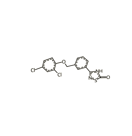 O=c1[nH]c(-c2cccc(COc3ccc(Cl)cc3Cl)c2)ns1